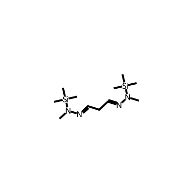 CN(/N=C/C/C=N/N(C)[Si](C)(C)C)[Si](C)(C)C